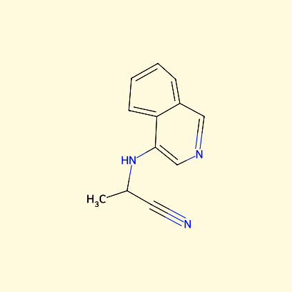 CC(C#N)Nc1cncc2ccccc12